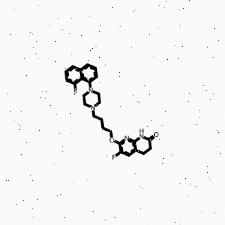 O=C1CCc2cc(F)c(OCCCCN3CCN(c4cccc5cccc(F)c45)CC3)nc2N1